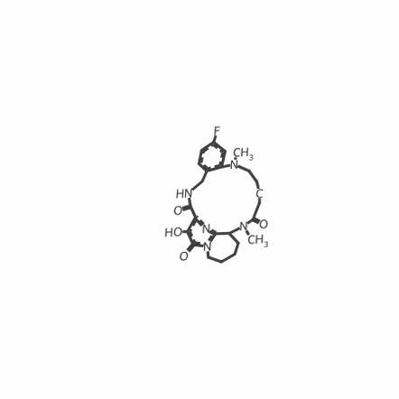 CN1CCCCC(=O)N(C)C2CCCCn3c2nc(c(O)c3=O)C(=O)NCc2ccc(F)cc21